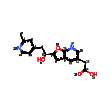 Cc1cc(CC(O)c2cc3cc(CC(=O)O)cnc3o2)ccn1